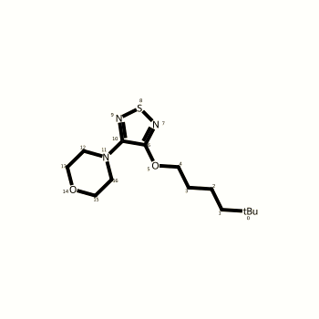 CC(C)(C)CCCCOc1nsnc1N1CCOCC1